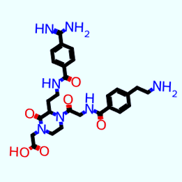 N=C(N)c1ccc(C(=O)NCCC2C(=O)N(CC(=O)O)CCN2C(=O)CNC(=O)c2ccc(CCN)cc2)cc1